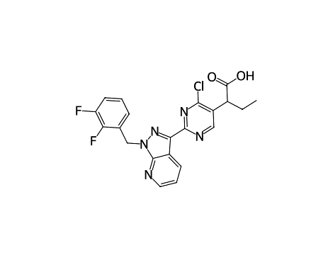 CCC(C(=O)O)c1cnc(-c2nn(Cc3cccc(F)c3F)c3ncccc23)nc1Cl